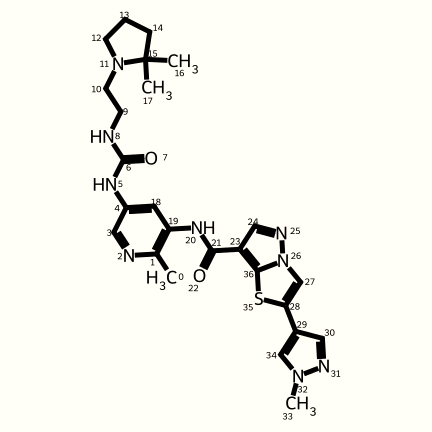 Cc1ncc(NC(=O)NCCN2CCCC2(C)C)cc1NC(=O)c1cnn2cc(-c3cnn(C)c3)sc12